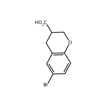 O=C(O)C1COc2ccc(Br)cc2C1